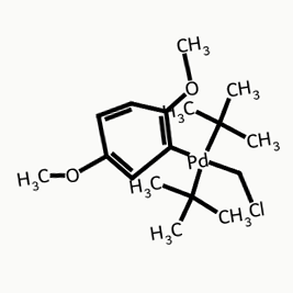 COc1ccc(OC)[c]([Pd]([CH2]Cl)([C](C)(C)C)[C](C)(C)C)c1